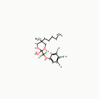 CCCCCC1(C)COC(O)(C(F)(F)Oc2cc(F)c(F)c(F)c2)OC1